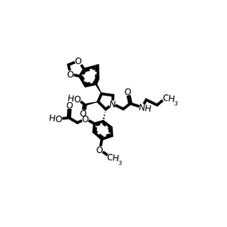 CCCNC(=O)CN1C[C@H](c2ccc3c(c2)OCO3)[C@H](C(=O)O)[C@H]1c1ccc(OC)cc1OCC(=O)O